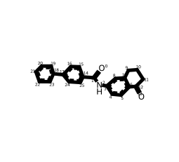 O=C(Nc1ccc2c(c1)CCCC2=O)c1ccc(-c2ccccc2)cc1